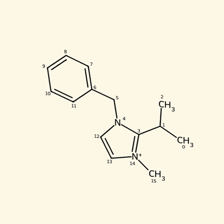 CC(C)c1n(Cc2ccccc2)cc[n+]1C